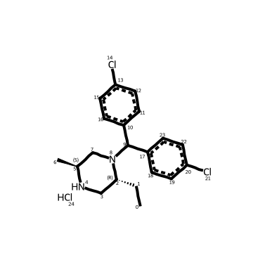 CC[C@@H]1CN[C@@H](C)CN1C(c1ccc(Cl)cc1)c1ccc(Cl)cc1.Cl